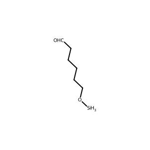 O=CCCCCCO[SiH3]